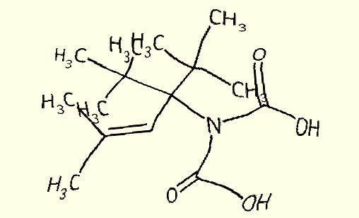 CC(C)=CC(N(C(=O)O)C(=O)O)(C(C)(C)C)C(C)(C)C